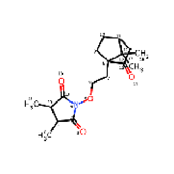 CC1C(=O)N(OCCC23CCC(CC2=O)C3(C)C)C(=O)C1C